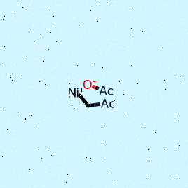 CC(=O)[CH2][Ni+].CC(=O)[O-]